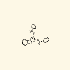 O=C(OC1C2OC(C1OC(=O)c1ccccc1)C1c3ccccc3CC21)c1ccccc1